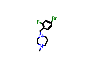 CN1CCCN(Cc2ccc(Br)cc2F)CC1